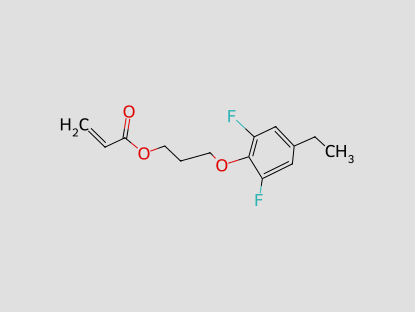 C=CC(=O)OCCCOc1c(F)cc(CC)cc1F